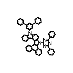 c1ccc(-c2cc(-c3ccccc3)cc(-n3c4ccccc4c4c5c6c7ccccc7c7ccccc7c6n(-c6nc(-c7ccccc7)nc(-c7ccccc7)n6)c5ccc43)c2)cc1